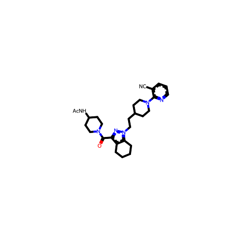 CC(=O)NC1CCN(C(=O)c2nn(CCC3CCN(c4ncccc4C#N)CC3)c3c2CCCC3)CC1